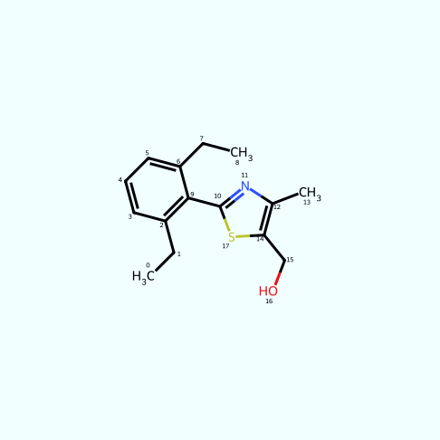 CCc1cccc(CC)c1-c1nc(C)c(CO)s1